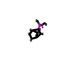 CP(C)C1CC2CCC1C2